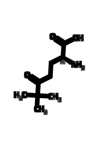 CC(C)(C)C(=O)CC[C@H](N)C(=O)O